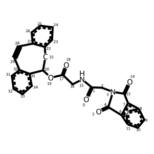 O=C(CN1C(=O)c2c(c3ccc2o3)C1=O)NCC(=O)OC1Cc2ccccc2C#Cc2ccccc21